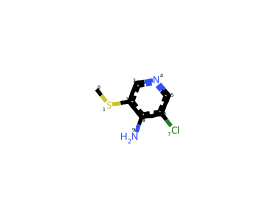 CSc1cncc(Cl)c1N